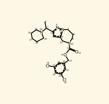 CC(c1cc2n(n1)CCCN(C(=O)OCc1cc(Cl)cc(Cl)c1)C2)N1CCCCC1